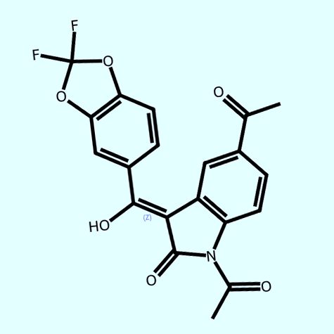 CC(=O)c1ccc2c(c1)/C(=C(/O)c1ccc3c(c1)OC(F)(F)O3)C(=O)N2C(C)=O